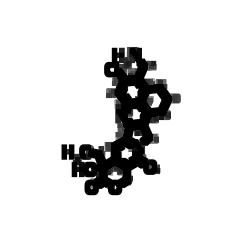 CC[C@@]1(O)C(=O)OCc2c1cc1n(c2=O)Cc2c-1nc1cc(Cl)c(CN)c3c1c2CCC3